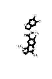 CN(C(=O)c1cc2c(cc1F)nc(N)c1cnn(C)c12)[C@@H]1COc2cc(Cl)c(Cl)cc21